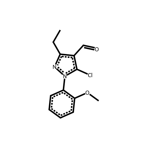 CCc1nn(-c2ccccc2OC)c(Cl)c1C=O